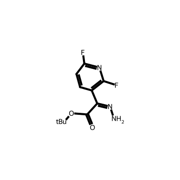 CC(C)(C)OC(=O)C(=NN)c1ccc(F)nc1F